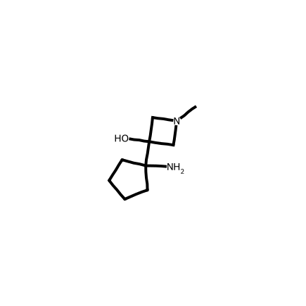 CN1CC(O)(C2(N)CCCC2)C1